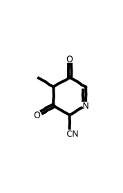 CC1C(=O)C=NC(C#N)C1=O